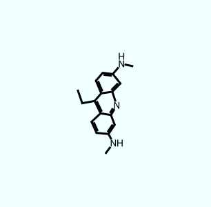 CCc1c2ccc(NC)cc2nc2cc(NC)ccc12